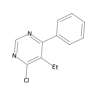 CCc1c(Cl)ncnc1-c1ccccc1